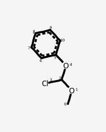 COC(Cl)Oc1cc[c]cc1